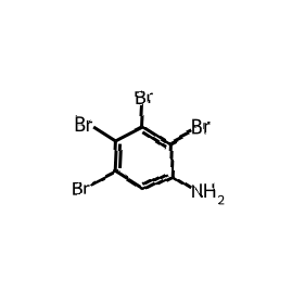 Nc1cc(Br)c(Br)c(Br)c1Br